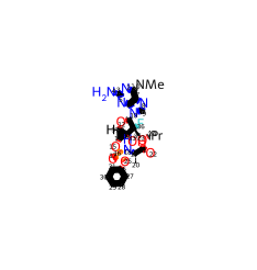 CNc1nc(N)nc2c1ncn2[C@@H]1O[C@@H]2C(O[P@@](=O)(N[C@@H](C)C(=O)OC(C)C)Oc3ccccc3)[C@]2(O)[C@@]1(C)F